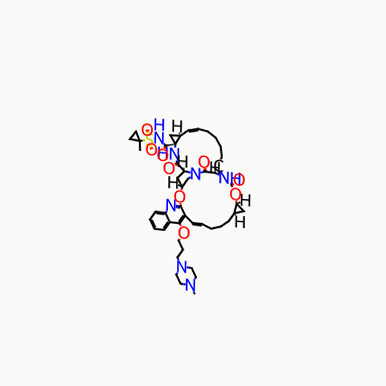 CN1CCN(CCCOc2c3c(nc4ccccc24)O[C@@H]2C[C@H]4C(=O)N[C@]5(C(=O)NS(=O)(=O)C6(C)CC6)C[C@H]5/C=C\CCCCC[C@H](NC(=O)O[C@@H]5C[C@H]5CCC/C=C/3)C(=O)N4C2)CC1